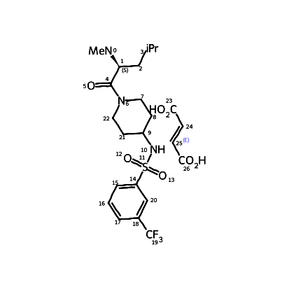 CN[C@@H](CC(C)C)C(=O)N1CCC(NS(=O)(=O)c2cccc(C(F)(F)F)c2)CC1.O=C(O)/C=C/C(=O)O